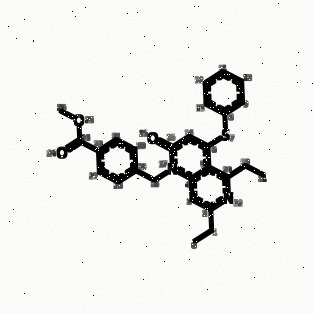 CCc1cc2c(c(Sc3ccccc3)cc(=O)n2Cc2ccc(C(=O)OC)cc2)c(CC)n1